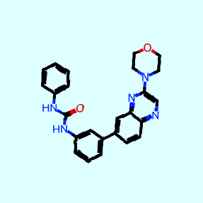 O=C(Nc1ccccc1)Nc1cccc(-c2ccc3ncc(N4CCOCC4)nc3c2)c1